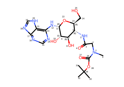 CN(CC(=O)N[C@@H]1[C@@H](O)[C@H](O)[C@H](Nc2ncnc3nc[nH]c23)O[C@H]1CO)C(=O)OC(C)(C)C